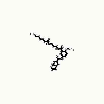 COc1ccc(NC(=O)C2CN3C=CSC3=N2)cc1C(=O)NCCCNC(=O)CCCCCN